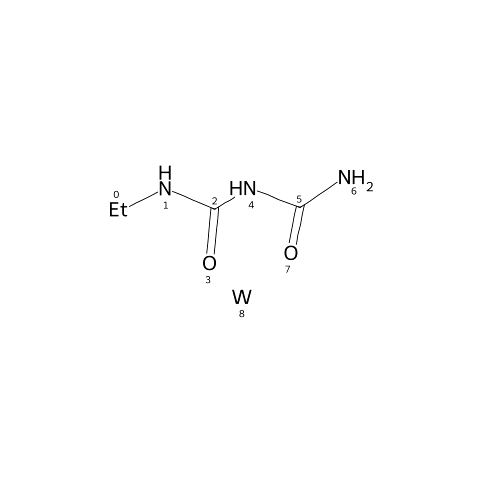 CCNC(=O)NC(N)=O.[W]